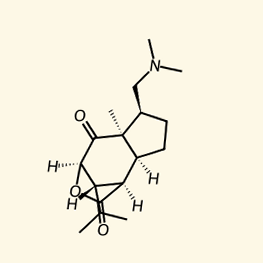 CC(C)[C@H]1[C@@H]2C(=O)O[C@H]1C(=O)[C@@]1(C)[C@@H](CN(C)C)CC[C@@H]21